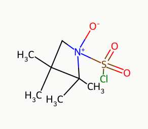 CC1(C)C[N+]([O-])(S(=O)(=O)Cl)C1(C)C